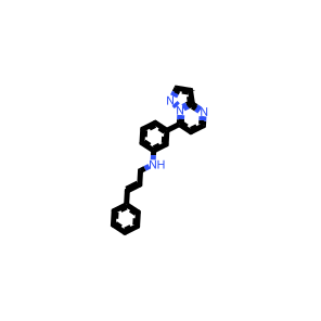 [c]1cnn2c(-c3cccc(NC/C=C/c4ccccc4)c3)ccnc12